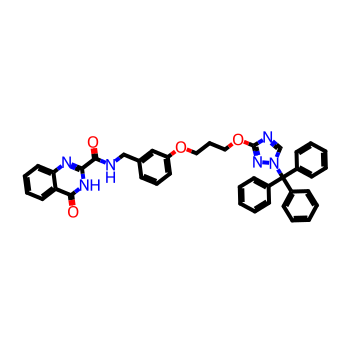 O=C(NCc1cccc(OCCCOc2ncn(C(c3ccccc3)(c3ccccc3)c3ccccc3)n2)c1)c1nc2ccccc2c(=O)[nH]1